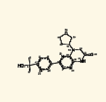 CC(C)(O)c1ccc(-c2cnc3c(n2)N(C2CCOC2)CC(=O)N3)cn1